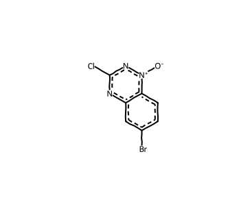 [O-][n+]1nc(Cl)nc2cc(Br)ccc21